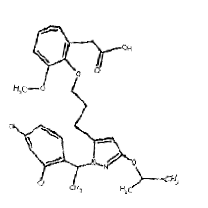 COc1cccc(CC(=O)O)c1OCCCc1cc(OC(C)C)nn1C(C)c1ccc(Cl)cc1Cl